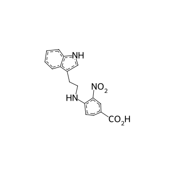 O=C(O)c1ccc(NCCc2c[nH]c3ccccc23)c([N+](=O)[O-])c1